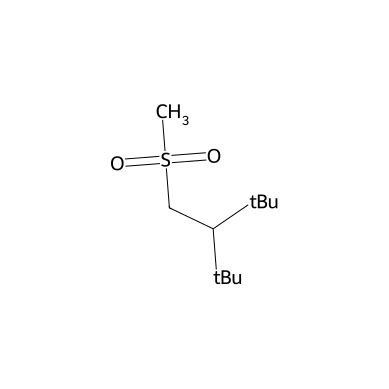 CC(C)(C)C(CS(C)(=O)=O)C(C)(C)C